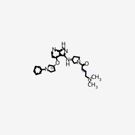 CN(C)C/C=C/C(=O)N1CC[C@@H](Nc2n[nH]c3nccc(O[C@H]4CCN(c5ccccc5)C4)c23)C1